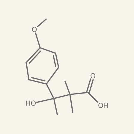 COc1ccc(C(C)(O)C(C)(C)C(=O)O)cc1